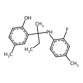 CCC(C)(Pc1ccc(C)cc1F)c1cc(C)ccc1O